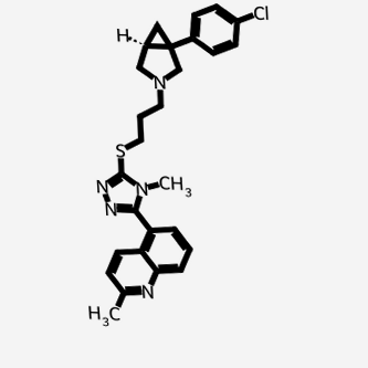 Cc1ccc2c(-c3nnc(SCCCN4C[C@H]5CC5(c5ccc(Cl)cc5)C4)n3C)cccc2n1